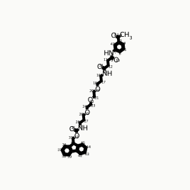 CC(=O)c1cccc(NC(=O)CCC(=O)NCCCOCCOCCOCCCNC(=O)OCC2c3ccccc3-c3ccccc32)c1